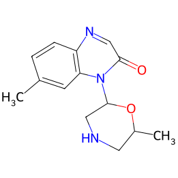 Cc1ccc2ncc(=O)n(C3CNCC(C)O3)c2c1